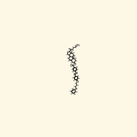 CC(C)CCCC(C)C1CCC2C3CC=C4CC(OC(=O)c5ccc(N=Nc6ccc(OCCCC[n+]7ccccc7)cc6)cc5)CCC4(C)C3CCC12C